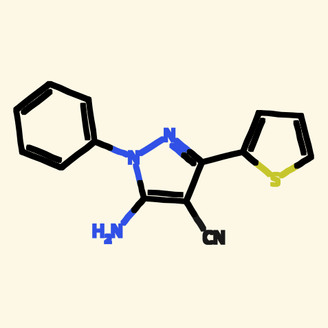 N#Cc1c(-c2cccs2)nn(-c2ccccc2)c1N